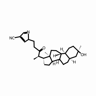 C[C@@H](C(=O)CCC1C=C(C#N)C=N1)[C@H]1CC[C@H]2[C@@H]3CC[C@@H]4C[C@](C)(O)CC[C@@H]4[C@H]3CC[C@]12C